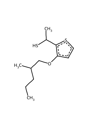 CCCC(C)COc1ccsc1C(C)S